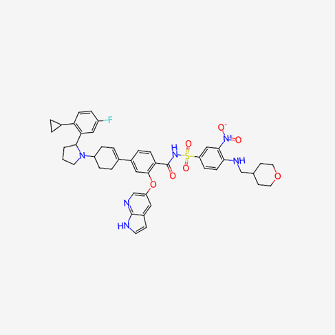 O=C(NS(=O)(=O)c1ccc(NCC2CCOCC2)c([N+](=O)[O-])c1)c1ccc(C2=CCC(N3CCCC3c3cc(F)ccc3C3CC3)CC2)cc1Oc1cnc2[nH]ccc2c1